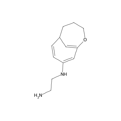 NCCNC1=CC2=CC(C=C1)CCCO2